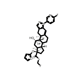 C[C@]12Cc3cnn(-c4ccc(F)nc4)c3C=C1CC[C@H]1[C@@H]3CC[C@](Oc4ccco4)(C(=O)SCF)[C@@]3(C)C[C@H](O)[C@@]12F